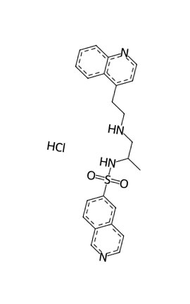 CC(CNCCc1ccnc2ccccc12)NS(=O)(=O)c1ccc2cnccc2c1.Cl